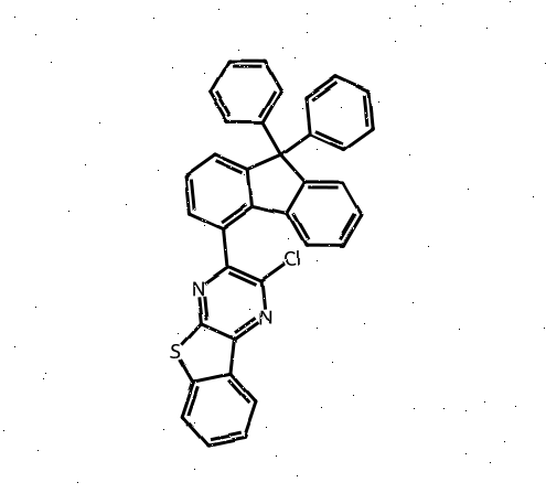 Clc1nc2c(nc1-c1cccc3c1-c1ccccc1C3(c1ccccc1)c1ccccc1)sc1ccccc12